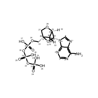 Nc1ncnc2c1ncn2[C@@H]1O[C@@]2(COP(=O)(O)OP(=O)(O)OP(=O)(O)O)CO[C@@H]1[C@@H]2S